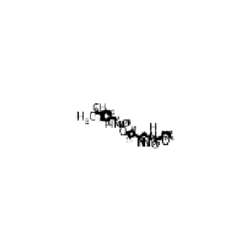 CC(C)c1ccc(CNC(=O)OC2CC(c3cc(NC(=O)C4CCCO4)[nH]n3)C2)cc1